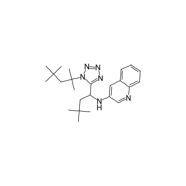 CC(C)(C)CC(Nc1cnc2ccccc2c1)c1nnnn1C(C)(C)CC(C)(C)C